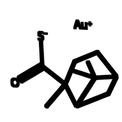 CC1(C(=O)[S-])CCC2CC1C2(C)C.[Au+]